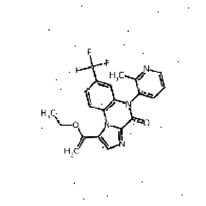 C=C(OCC)c1cnc2c(=O)n(-c3cccnc3C)c3cc(C(F)(F)F)ccc3n12